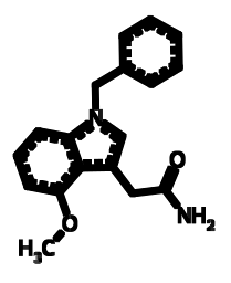 COc1cccc2c1c(CC(N)=O)cn2Cc1ccccc1